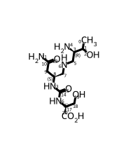 CC(O)[C@H](N)CNC[C@H](CC(N)=O)NC(=O)N[C@@H](CO)C(=O)O